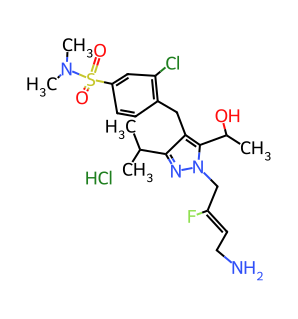 CC(C)c1nn(CC(F)=CCN)c(C(C)O)c1Cc1ccc(S(=O)(=O)N(C)C)cc1Cl.Cl